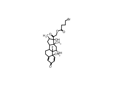 CC1CC2C3CCC4=CC(=O)C=CC4(C)C3(F)C(O)CC2(C)C1(O)C(=O)COC(=O)CCCBr